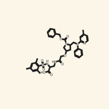 Cc1ccnc(N(CC2CC(OCC(=O)NCC(NS(=O)(=O)c3c(C)cc(C)cc3C)C(=O)O)CN2C(=O)OCc2ccccc2)c2ccccc2)c1